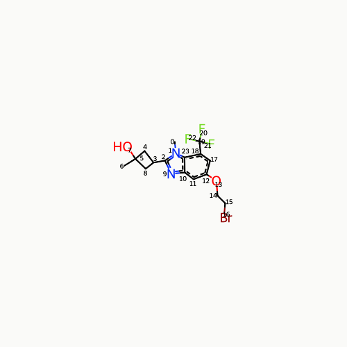 Cn1c(C2CC(C)(O)C2)nc2cc(OCCBr)cc(C(F)(F)F)c21